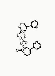 O=C1N2CC=C(c3cccnc3)C(C2)N1OS(=O)(=O)ON1C(=O)N2CC=C(c3cccnc3)C1C2